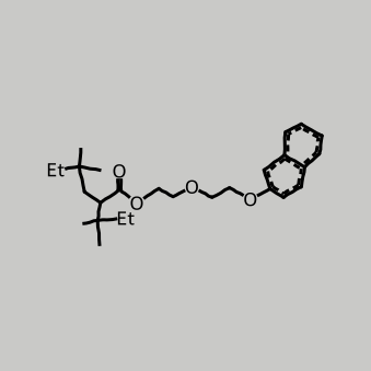 CCC(C)(C)CC(C(=O)OCCOCCOc1ccc2ccccc2c1)C(C)(C)CC